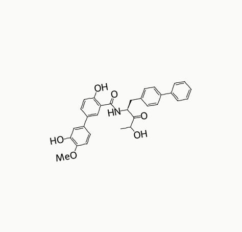 COc1ccc(-c2ccc(O)c(C(=O)N[C@@H](Cc3ccc(-c4ccccc4)cc3)C(=O)C(C)O)c2)cc1O